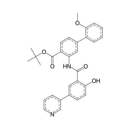 COc1ccccc1-c1ccc(C(=O)OC(C)(C)C)c(NC(=O)c2cc(-c3cccnc3)ccc2O)c1